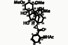 CCN1C[C@]2(OC(=O)c3ccccc3NC(C)=O)CC[C@H](OC)C34C1C([C@@H](O)[C@@H]32)[C@@]1(O)C[C@H](OC)C[C@H](OC)C1[C@H]4C